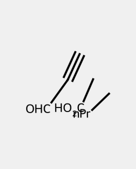 C#CC=O.CC(=O)O.CCCC